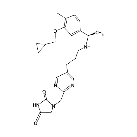 C[C@@H](NCCCc1cnc(CN2CC(=O)NC2=O)nc1)c1ccc(F)c(OCC2CC2)c1